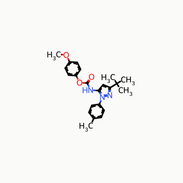 COc1ccc(OC(=O)Nc2cc(C(C)(C)C)nn2-c2ccc(C)cc2)cc1